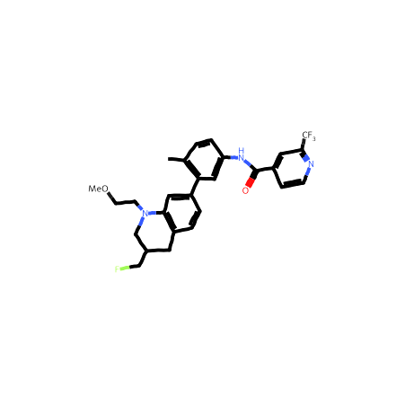 COCCN1CC(CF)Cc2ccc(-c3cc(NC(=O)c4ccnc(C(F)(F)F)c4)ccc3C)cc21